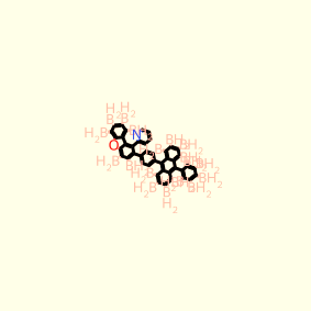 Bc1c(B)c(B)c(-c2c3c(B)c(B)c(B)c(B)c3c(-c3ccc(-c4c(B)c(B)c5oc6c(B)c(B)c(B)c(B)c6c5c4-c4ccccn4)cc3)c3c(B)c(B)c(B)c(B)c23)c(B)c1B